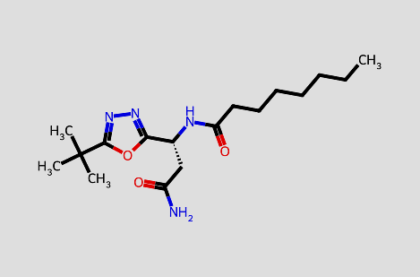 CCCCCCCC(=O)N[C@H](CC(N)=O)c1nnc(C(C)(C)C)o1